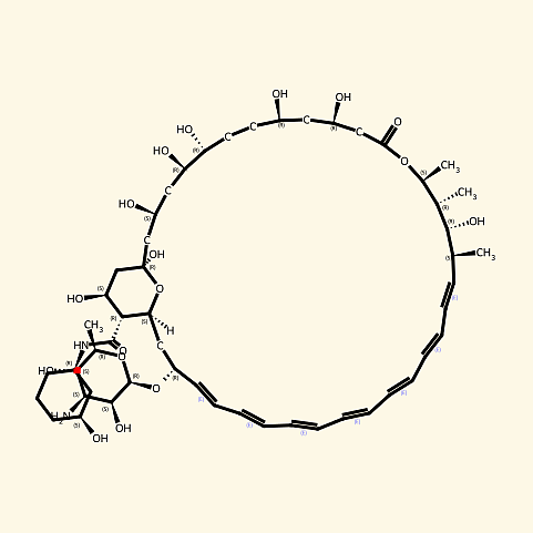 C[C@@H]1[C@H](O)[C@@H](C)/C=C/C=C/C=C/C=C/C=C/C=C/C=C/[C@H](O[C@@H]2O[C@H](C)[C@@H](O)[C@H](N)[C@@H]2O)C[C@@H]2O[C@](O)(C[C@@H](O)C[C@@H](O)[C@H](O)CC[C@@H](O)C[C@@H](O)CC(=O)O[C@H]1C)C[C@H](O)[C@H]2C(=O)N[C@@H]1CCC[C@H](O)C1